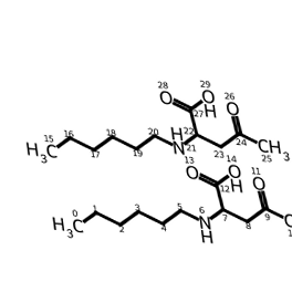 CCCCCCNC(CC(C)=O)C(=O)O.CCCCCCNC(CC(C)=O)C(=O)O